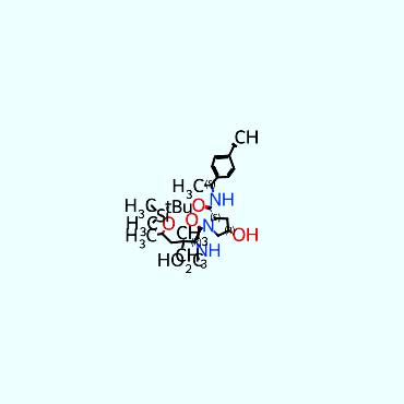 C#Cc1ccc([C@H](C)NC(=O)[C@@H]2C[C@@H](O)CN2C(=O)[C@H](NC(=O)O)C(C)(C)CC(C)O[Si](C)(C)C(C)(C)C)cc1